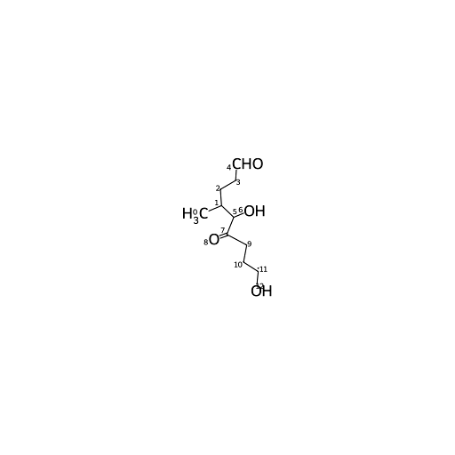 CC(CCC=O)C(O)C(=O)CC[CH]O